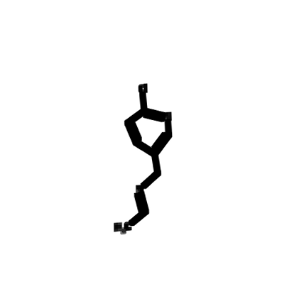 C/C=N/Cc1ccc(Cl)nc1